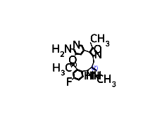 CCc1onc2c1-c1cnc(N)c(c1)O[C@H](C)c1cc(F)ccc1C(=N)/C(=C\NC)C2